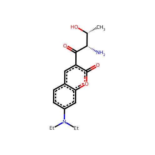 CCN(CC)c1ccc2cc(C(=O)[C@@H](N)[C@@H](C)O)c(=O)oc2c1